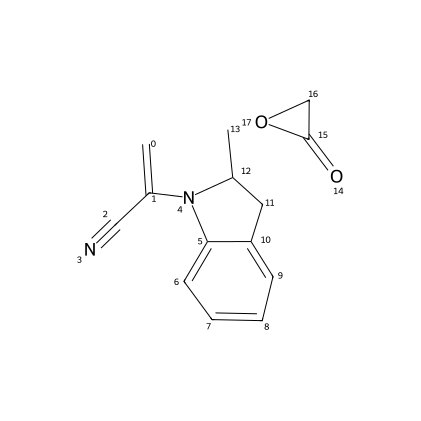 C=C(C#N)N1c2ccccc2CC1C.O=C1CO1